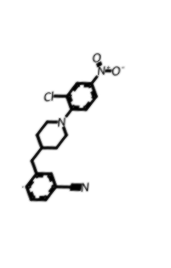 N#Cc1cc[c]c(CC2CCN(c3ccc([N+](=O)[O-])cc3Cl)CC2)c1